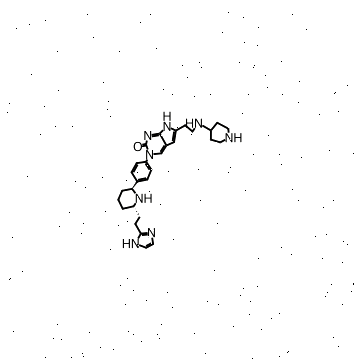 O=c1nc2[nH]c(CCNC3CCNCC3)cc2cn1-c1ccc([C@@H]2CCC[C@@H](CCc3ncc[nH]3)N2)cc1